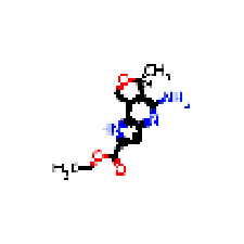 CCOC(=O)c1cc2nc(N)c3c(c2[nH]1)CO[C@H]3C